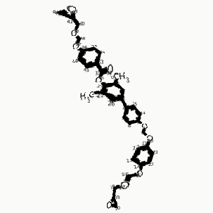 Cc1cc(-c2ccc(OCOc3ccc(OCOCC4CO4)cc3)cc2)cc(C)c1OC(=O)c1ccc(OCOCC2CO2)cc1